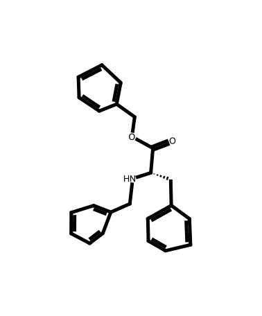 O=C(OCc1ccccc1)[C@H](Cc1ccccc1)NCc1ccccc1